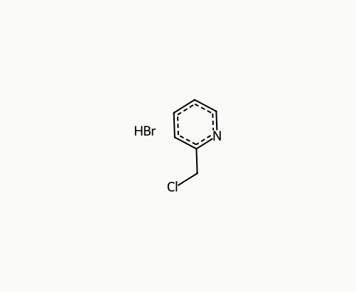 Br.ClCc1ccccn1